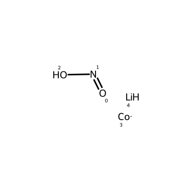 O=NO.[Co].[LiH]